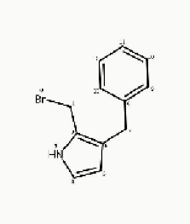 BrCc1[nH]ccc1Cc1ccccc1